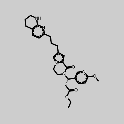 CCOC(=O)C[C@@H](c1ccc(OC)nc1)N1CCn2cc(CCCc3ccc4c(n3)NCCC4)cc2C1=O